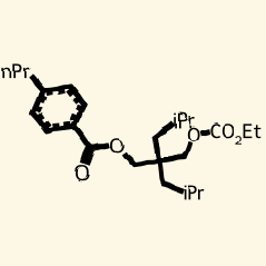 CCCc1ccc(C(=O)OCC(COC(=O)OCC)(CC(C)C)CC(C)C)cc1